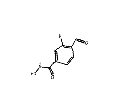 O=Cc1ccc(C(=O)NO)cc1F